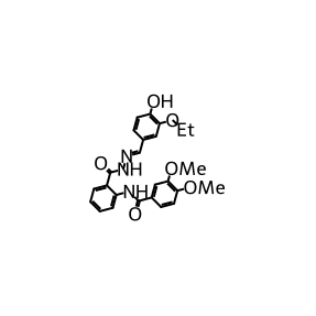 CCOc1cc(C=NNC(=O)c2ccccc2NC(=O)c2ccc(OC)c(OC)c2)ccc1O